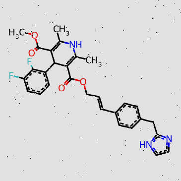 COC(=O)C1=C(C)NC(C)=C(C(=O)OCC=Cc2ccc(Cc3ncc[nH]3)cc2)C1c1cccc(F)c1F